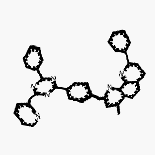 Cc1cc(-c2ccc(-c3nc(-c4ccccc4)nc(-c4ccccn4)n3)cc2)nc2c1ccc1ccc(-c3ccccc3)nc12